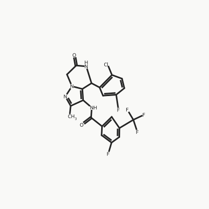 Cc1nn2c(c1NC(=O)c1cc(F)cc(C(F)(F)F)c1)C(c1cc(F)ccc1Cl)NC(=O)C2